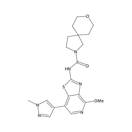 COc1ncc(-c2cnn(C)c2)c2sc(NC(=O)N3CCC4(CCOCC4)C3)nc12